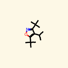 CC(C)c1c(C(C)(C)C)noc1C(C)(C)C